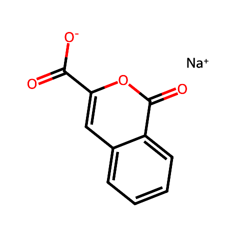 O=C([O-])c1cc2ccccc2c(=O)o1.[Na+]